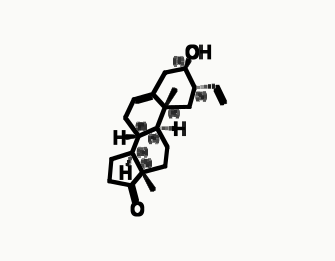 C=C[C@@H]1C[C@@]2(C)C(=CC[C@@H]3[C@@H]2CC[C@]2(C)C(=O)CC[C@@H]32)C[C@H]1O